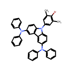 Cc1cc(-n2c3ccc(N(c4ccccc4)c4ccccc4)cc3c3cc(N(c4ccccc4)c4ccccc4)ccc32)cc(C)c1Br